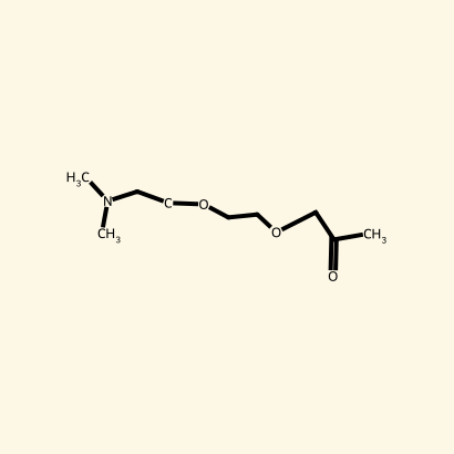 CC(=O)COCCOCCN(C)C